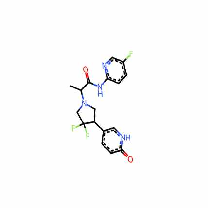 CC(C(=O)Nc1ccc(F)cn1)N1CC(c2ccc(=O)[nH]c2)C(F)(F)C1